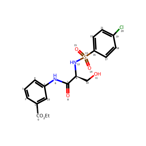 CCOC(=O)c1cccc(NC(=O)[C@H](CO)NS(=O)(=O)c2ccc(Cl)cc2)c1